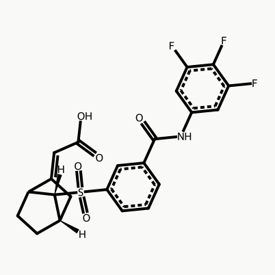 O=C(O)/C=C1\C[C@@H]2CCC1[C@@H]2S(=O)(=O)c1cccc(C(=O)Nc2cc(F)c(F)c(F)c2)c1